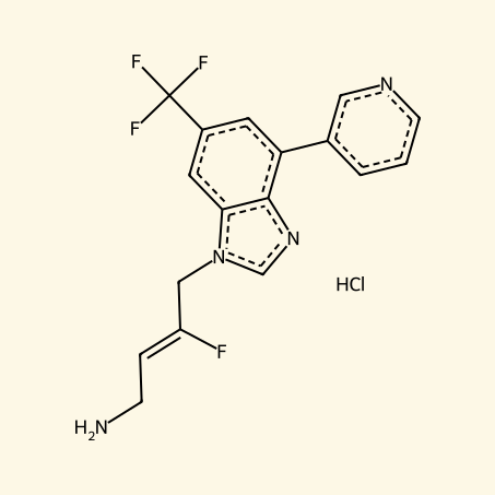 Cl.NC/C=C(\F)Cn1cnc2c(-c3cccnc3)cc(C(F)(F)F)cc21